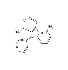 C/C=C\c1c(CC)n(-c2ccccc2)c2cccc(N)c12